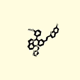 COc1cccc(C(c2cccc(/C=C/c3ccc4ccc(Cl)cc4n3)c2)n2ccc3cccc(OCn4cnnn4)c32)c1